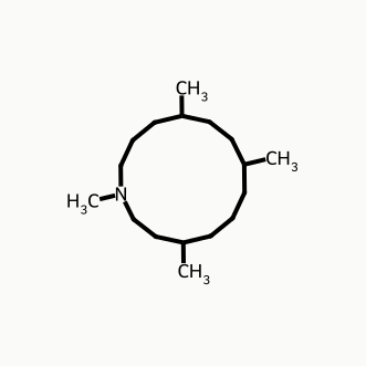 CC1CCCC(C)CCN(C)CCCC(C)CC1